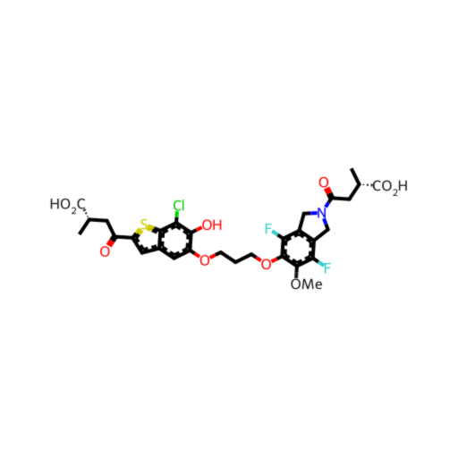 COc1c(F)c2c(c(F)c1OCCCOc1cc3cc(C(=O)C[C@H](C)C(=O)O)sc3c(Cl)c1O)CN(C(=O)C[C@H](C)C(=O)O)C2